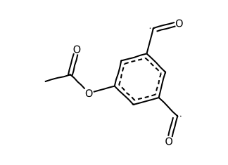 CC(=O)Oc1cc([C]=O)cc([C]=O)c1